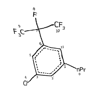 CCCc1[c]c(Cl)cc(C(F)(C(F)(F)F)C(F)(F)F)c1